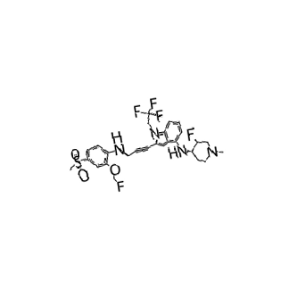 CN1CC[C@@H](Nc2cccc3c2cc(C#CCNc2ccc(S(C)(=O)=O)cc2OCF)n3CC(F)(F)F)[C@@H](F)C1